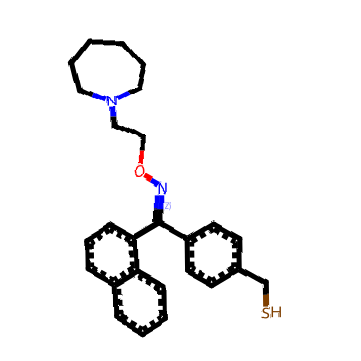 SCc1ccc(/C(=N/OCCN2CCCCCC2)c2cccc3ccccc23)cc1